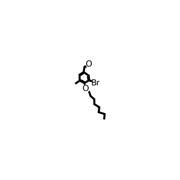 CCCCCCCCOc1c(C)cc(C=O)cc1Br